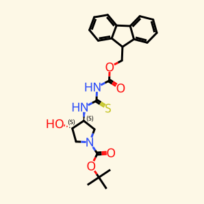 CC(C)(C)OC(=O)N1C[C@H](NC(=S)NC(=O)OCC2c3ccccc3-c3ccccc32)[C@@H](O)C1